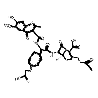 CC(=O)OCC1=C(C(=O)O)N2C(=O)[C@@H](NC(=O)C(NC(=O)c3c(C)oc4cc(O)c(O)cc4c3=O)c3ccc(OCC(=O)O)cc3)[C@@H]2SC1